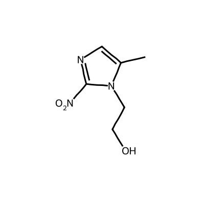 Cc1cnc([N+](=O)[O-])n1CCO